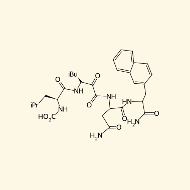 CC[C@H](C)C(NC(=O)[C@H](CC(C)C)NC(=O)O)C(=O)C(=O)NC(CC(N)=O)C(=O)NC(Cc1ccc2ccccc2c1)C(N)=O